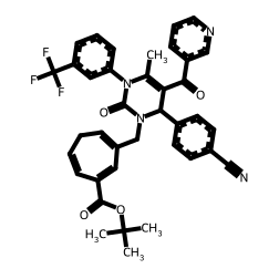 CC1=C(C(=O)c2cccnc2)C(c2ccc(C#N)cc2)N(CC2=CCC=CC(C(=O)OC(C)(C)C)=C2)C(=O)N1c1cccc(C(F)(F)F)c1